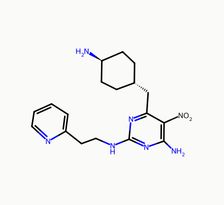 Nc1nc(NCCc2ccccn2)nc(C[C@H]2CC[C@H](N)CC2)c1[N+](=O)[O-]